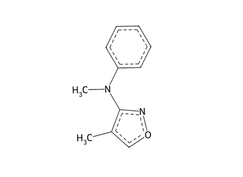 Cc1conc1N(C)c1ccccc1